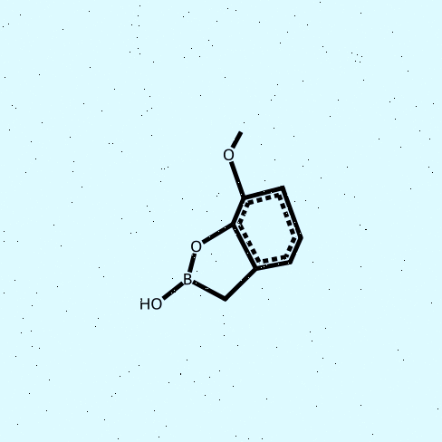 COc1cccc2c1OB(O)C2